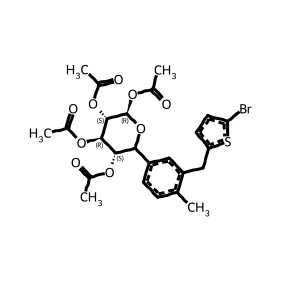 CC(=O)O[C@H]1OC(c2ccc(C)c(Cc3ccc(Br)s3)c2)[C@H](OC(C)=O)[C@@H](OC(C)=O)[C@@H]1OC(C)=O